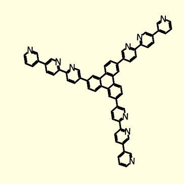 c1cncc(-c2ccc(-c3ccc(-c4ccc5c(c4)c4ccc(-c6ccc(-c7ccc(-c8cccnc8)cn7)nc6)cc4c4ccc(-c6ccc(-c7ccc(-c8cccnc8)cn7)nc6)cc54)cn3)nc2)c1